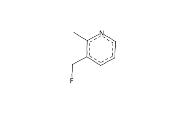 Cc1ncccc1CF